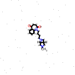 CN1C[C@H]2CN(CCCCN3C(=O)CCC(=O)c4ccccc43)[C@H]2C1